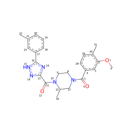 COc1cc(C(=O)N2CCN(C(=O)c3n[nH]c(-c4cccc(C)c4)n3)C(C)C2)ccc1C